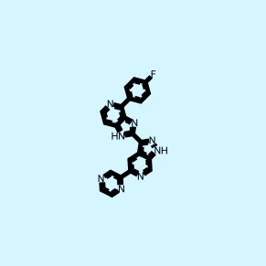 Fc1ccc(-c2nccc3[nH]c(-c4n[nH]c5cnc(-c6cnccn6)cc45)nc23)cc1